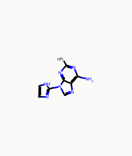 CCCc1nc(N)c2ncn(-c3ncc[nH]3)c2n1